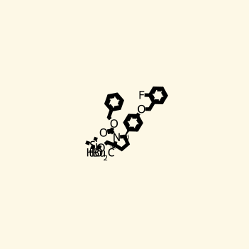 CC(C)(C)[Si](C)(C)OC[C@@]1(C(=O)O)CC[C@H](c2ccc(OCc3ccccc3F)cc2)N1C(=O)OCc1ccccc1